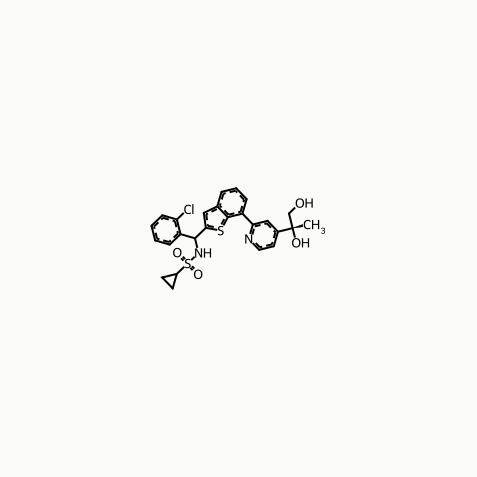 C[C@](O)(CO)c1ccnc(-c2cccc3cc(C(NS(=O)(=O)C4CC4)c4ccccc4Cl)sc23)c1